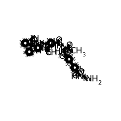 COC(=O)[C@H](CNC(=O)c1ccc2c(CNc3nccn3C(c3ccccc3)(c3ccccc3)c3ccccc3)nn(C)c2c1)NS(=O)(=O)c1ccc(-c2ccc(S(=O)(=O)NCCN)cc2)cc1